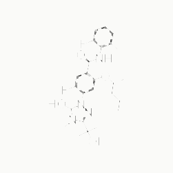 CCC[C@H](C)Oc1cc(N2N=C(C(C)(C)O)N(C)C2O)c(F)cc1C(=O)Nc1c(C)cccc1F